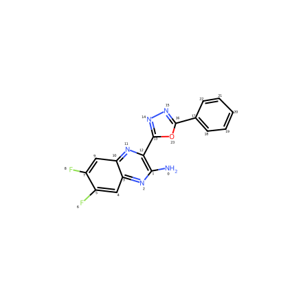 Nc1nc2cc(F)c(F)cc2nc1-c1nnc(-c2ccccc2)o1